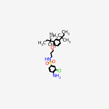 CCC(C)(C)c1ccc(OCCCNS(=O)(=O)c2ccc(N)c(Cl)c2)c(C(C)(C)CC)c1